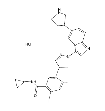 Cc1cc(F)c(C(=O)NC2CC2)cc1-c1cnn(-c2cnc3ccc(C4CCNC4)cn23)c1.Cl